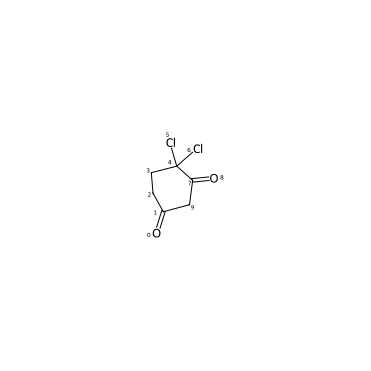 O=C1CCC(Cl)(Cl)C(=O)C1